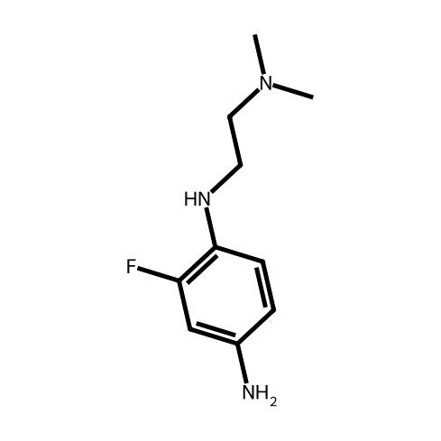 CN(C)CCNc1ccc(N)cc1F